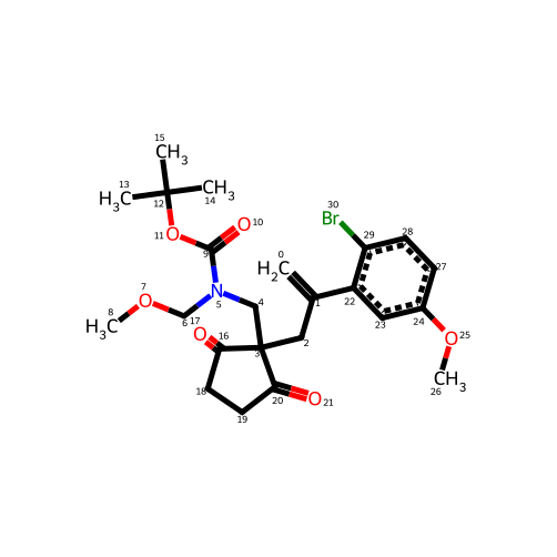 C=C(CC1(CN(COC)C(=O)OC(C)(C)C)C(=O)CCC1=O)c1cc(OC)ccc1Br